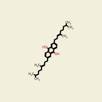 C/C(=C\CCc1ccc2c(O)c3cc(CC/C=C(\C)CCCC(C)C)ccc3c(O)c2c1)CCCC(C)C